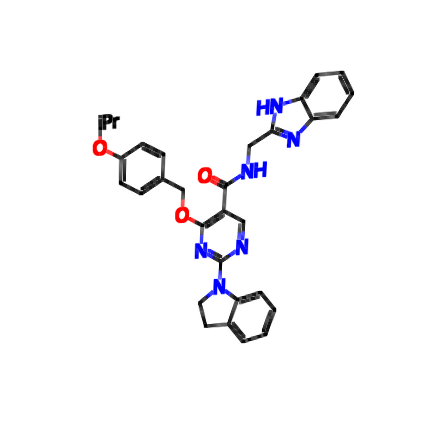 CC(C)Oc1ccc(COc2nc(N3CCc4ccccc43)ncc2C(=O)NCc2nc3ccccc3[nH]2)cc1